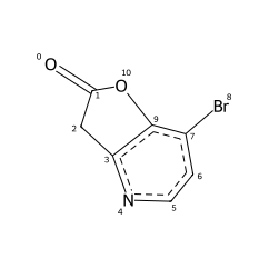 O=C1Cc2nccc(Br)c2O1